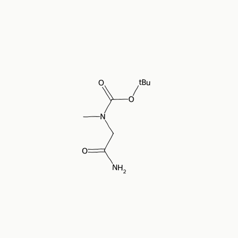 CN(CC(N)=O)C(=O)OC(C)(C)C